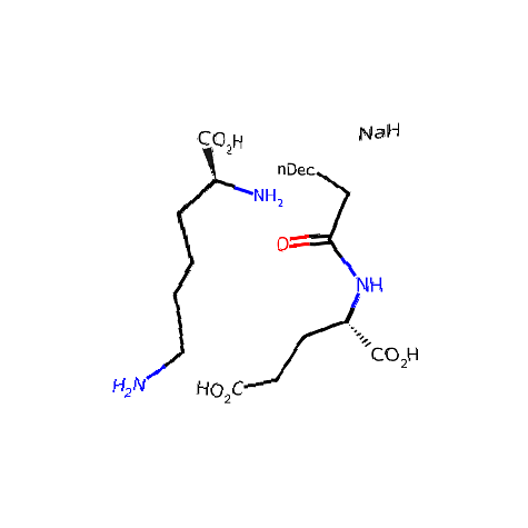 CCCCCCCCCCCC(=O)N[C@@H](CCC(=O)O)C(=O)O.NCCCC[C@H](N)C(=O)O.[NaH]